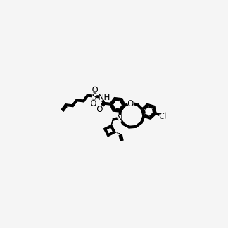 C=CCCCCS(=O)(=O)NC(=O)c1ccc2c(c1)N(C[C@@H]1CC[C@H]1C=C)CCCCc1cc(Cl)ccc1CO2